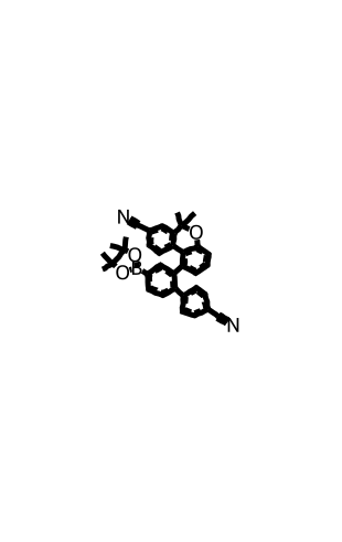 CC1(C)Oc2cccc(-c3cc(B4OC(C)(C)C(C)(C)O4)ccc3-c3ccc(C#N)cc3)c2-c2ccc(C#N)cc21